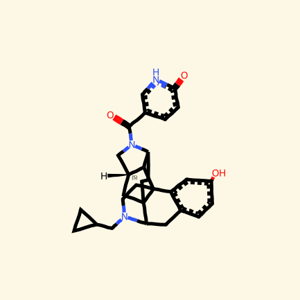 O=C(c1ccc(=O)[nH]c1)N1C[C@H]2CC34CCC1C2C31CCN(CC2CC2)C4Cc2ccc(O)cc21